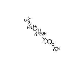 CC(C)C(=O)N1CC(Nc2cc(C(=O)NC[C@@](C)(O)CN3CCc4cc(OCc5cnco5)ccc4C3)ccn2)C1